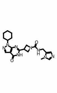 Cn1cncc1CNC(=O)N1CC(c2nc3c(cnn3C3CCCCC3)c(=O)[nH]2)C1